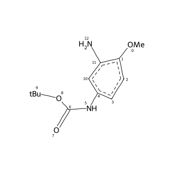 COc1ccc(NC(=O)OC(C)(C)C)cc1N